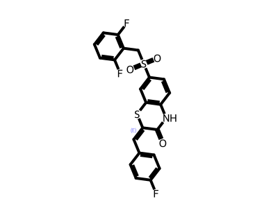 O=C1Nc2ccc(S(=O)(=O)Cc3c(F)cccc3F)cc2S/C1=C/c1ccc(F)cc1